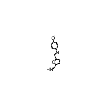 COc1ccc(N=Cc2ccc(C=N)o2)cc1